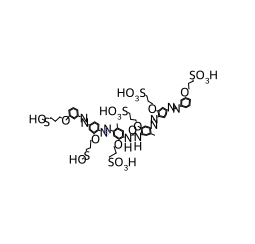 Cc1cc(NC(=O)Nc2cc(C)c(/N=N/c3ccc(N=Nc4cccc(OCCCSO)c4)cc3OCCCSO)cc2OCCCS(=O)(=O)O)c(OCCCS(=O)(=O)O)cc1N=Nc1ccc(N=Nc2cccc(OCCCS(=O)(=O)O)c2)cc1OCCCS(=O)(=O)O